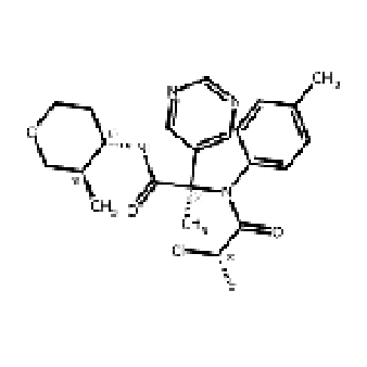 Cc1ccc(N(C(=O)[C@H](F)Cl)[C@@](C)(C(=O)N[C@H]2CCOC[C@@H]2C)c2cncnc2)cc1